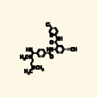 C#Cc1ccc(NC(=O)c2ccc(C(=N)N(C)CCN(C)C)cc2)c(C(=O)Nc2ccc(Cl)cn2)c1